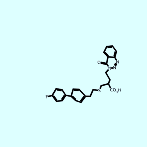 O=C(O)C(CCn1nnc2ccccc2c1=O)CSCCc1ccc(-c2ccc(F)cc2)cc1